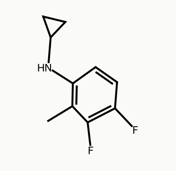 Cc1c(NC2CC2)ccc(F)c1F